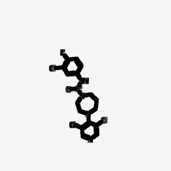 [O-][S+](Nc1ccc(F)c(Cl)c1)N1CCCN(c2c(Cl)cncc2Cl)CC1